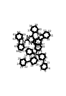 c1ccc(-c2cccc([Si](c3ccccc3)(c3cccc(-c4ccccc4)c3)c3cccc(-c4cc(-c5ccccc5-n5c6ccccc6c6ccccc65)nc(-n5c6ccccc6c6ccccc65)n4)c3)c2)cc1